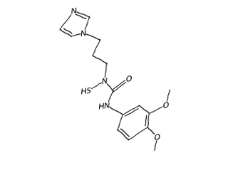 COc1ccc(NC(=O)N(S)CCCn2ccnc2)cc1OC